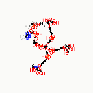 CC(=O)NC1[C@H](OCCCCCCOP(=O)(O)OCCCOCC(COCCCOP(=O)(O)OCCCCCCO[C@@H]2OC(CO)[C@H](O)[C@H](O)C2C)(COCOP(=O)(O)OCCCCCCO[C@@H]2OC(CO)[C@H](O)[C@H](O)C2C)COP(=O)(O)OCOCC(CO)COCOP(=O)(O)O[C@H]2C[C@H](n3cnc4c(C)ncnc43)O[C@@H]2COP(=O)(O)C(C)C)OC(CO)[C@H](O)[C@@H]1O